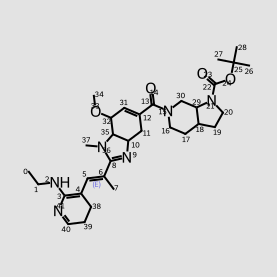 CCNC1=C(/C=C(\C)C2=NC3CC(C(=O)N4CCC5CCN(C(=O)OC(C)(C)C)C5C4)=CC(OC)C3N2C)CCC=N1